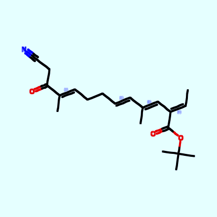 C\C=C(/C=C(C)/C=C/CC/C=C(\C)C(=O)CC#N)C(=O)OC(C)(C)C